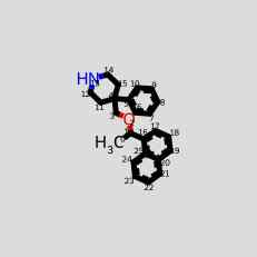 CC(OCC1(c2ccccc2)CCNCC1)c1cccc2ccccc12